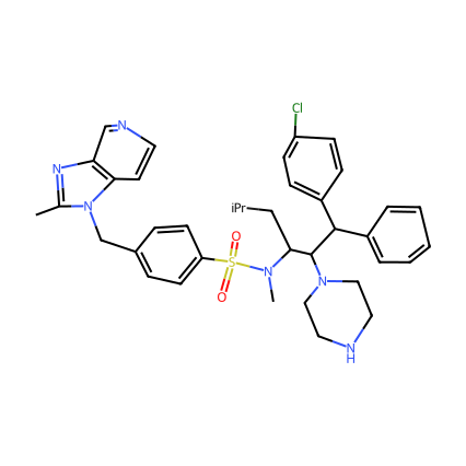 Cc1nc2cnccc2n1Cc1ccc(S(=O)(=O)N(C)C(CC(C)C)C(C(c2ccccc2)c2ccc(Cl)cc2)N2CCNCC2)cc1